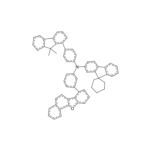 CC1(C)c2ccccc2-c2cccc(-c3ccc(N(c4cccc(-c5cccc6oc7c8ccccc8ccc7c56)c4)c4ccc5c(c4)C4(CCCCC4)c4ccccc4-5)cc3)c21